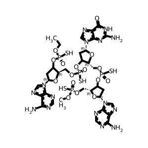 CCOP(=O)(S)OC1C[C@H](n2cnc3c(N)ncnc32)O[C@@H]1COP(=O)(S)OC1C[C@H](n2cnc3c(=O)[nH]c(N)nc32)O[C@@H]1COP(=O)(S)OC1C[C@H](n2cnc3c(N)ncnc32)O[C@@H]1COP(=O)(S)OC